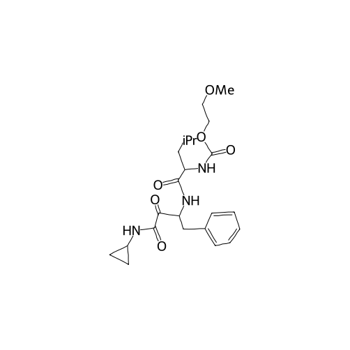 COCCOC(=O)NC(CC(C)C)C(=O)NC(Cc1ccccc1)C(=O)C(=O)NC1CC1